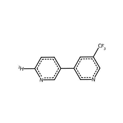 [2H]c1ccc(-c2cncc(C(F)(F)F)c2)cn1